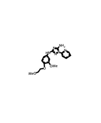 COCCOc1ccc(Nc2nc(N)n(-c3ccccn3)n2)cc1OC